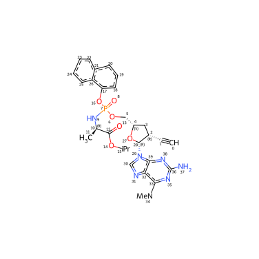 C#C[C@H]1C[C@@H](COP(=O)(N[C@H](C)C(=O)OC(C)C)Oc2cccc3ccccc23)O[C@H]1n1cnc2c(NC)nc(N)nc21